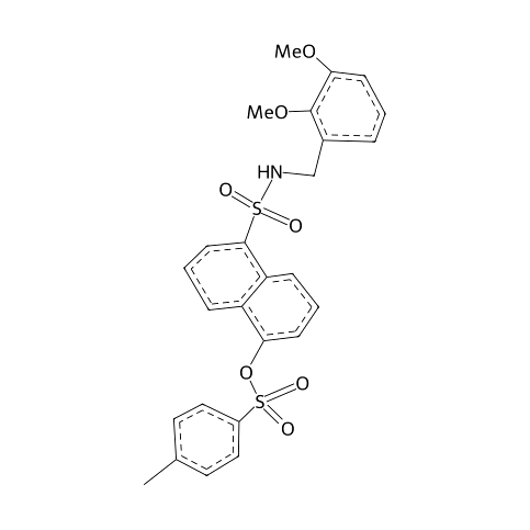 COc1cccc(CNS(=O)(=O)c2cccc3c(OS(=O)(=O)c4ccc(C)cc4)cccc23)c1OC